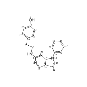 Oc1ccc(CCNc2ncc3ncn(-c4ccccc4)c3n2)cc1